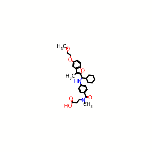 COCCOc1ccc2oc(C(Nc3ccc(C(=O)N(C)CCC(=O)O)cc3)C3CCCCC3)c(C)c2c1